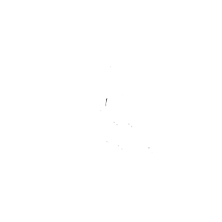 B[C@]1(O)C[C@@H](c2ccccc2)n2nc(Br)nc21